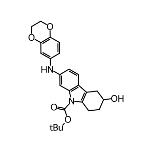 CC(C)(C)OC(=O)n1c2c(c3ccc(Nc4ccc5c(c4)OCCO5)cc31)CC(O)CC2